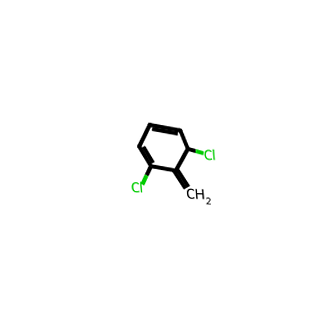 C=C1C(Cl)=CC=CC1Cl